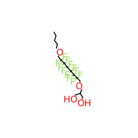 CCCCCOCC(F)(F)C(F)(F)C(F)(F)C(F)(F)C(F)(F)C(F)(F)COCC(CO)CO